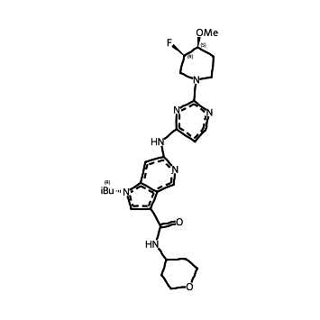 CC[C@@H](C)n1cc(C(=O)NC2CCOCC2)c2cnc(Nc3ccnc(N4CC[C@H](OC)[C@H](F)C4)n3)cc21